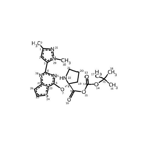 Cc1cc(-c2nc(O[C@@]3(C(=O)OC(=O)OC(C)(C)C)CCCN3)c3sccc3n2)n(C)n1